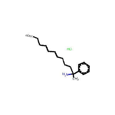 CCCCCCCCCCCCCCCCCCCC(C)(N)c1ccccc1.Cl